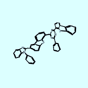 c1ccc(-c2nc(-c3cccc4c3oc3ccccc34)nc(-c3cccc4c3sc3ccc(-c5nc6ccccc6n5-c5ccccc5)cc34)n2)cc1